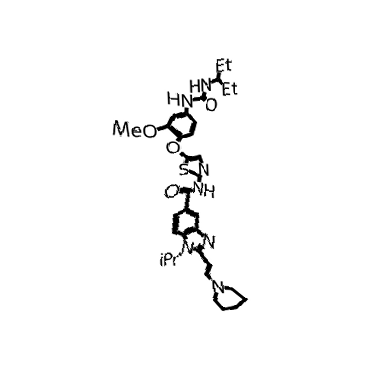 CCC(CC)NC(=O)Nc1ccc(Oc2cnc(NC(=O)c3ccc4c(c3)nc(CCN3CCCCC3)n4C(C)C)s2)c(OC)c1